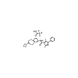 Cc1nn(-c2ccccc2)c(C)c1C(=O)Nc1ccc2c(c1)CCN(C1CCC1)CC2.O=C(O)C(F)(F)F